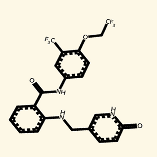 O=C(Nc1ccc(OCC(F)(F)F)c(C(F)(F)F)c1)c1ccccc1NCc1ccc(=O)[nH]c1